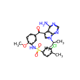 COc1ccc(C(=O)c2cn(C(C)C)c3ncnc(N)c23)cc1NS(=O)(=O)c1ccc(C)c(Cl)c1